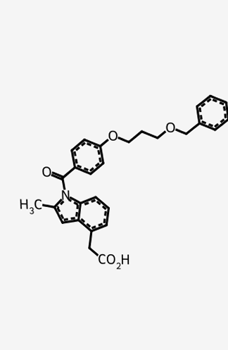 Cc1cc2c(CC(=O)O)cccc2n1C(=O)c1ccc(OCCCOCc2ccccc2)cc1